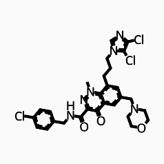 Cn1nc(C(=O)NCc2ccc(Cl)cc2)c(=O)c2cc(CN3CCOCC3)cc(CCCn3cnc(Cl)c3Cl)c21